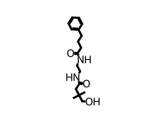 CC(C)(CO)CC(=O)NCCNC(=O)CCCc1ccccc1